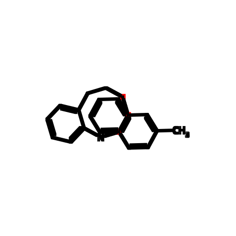 Cc1ccc2c(c1)CC1Cc3ccccc3N2c2ccccc2C1